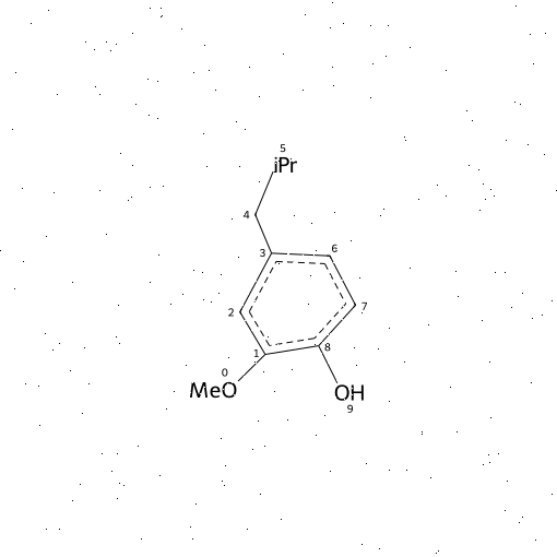 COc1cc(CC(C)C)ccc1O